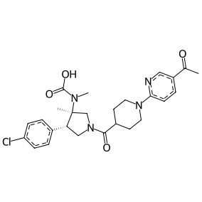 CC(=O)c1ccc(N2CCC(C(=O)N3C[C@H](c4ccc(Cl)cc4)[C@@](C)(N(C)C(=O)O)C3)CC2)nc1